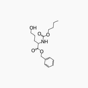 CCCCOC(=O)NC(CCCO)C(=O)OCc1ccccc1